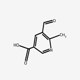 Cc1ncc(C(=O)O)cc1C=O